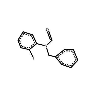 O=CN(Cc1ccccc1)c1ccccc1I